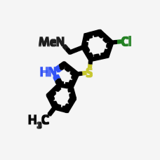 CNCc1ccc(Cl)cc1Sc1c[nH]c2cc(C)ccc12